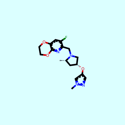 C[C@H]1C[C@@H](Oc2cnn(C)c2)CN1Cc1nc2c(cc1F)OCCO2